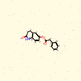 O=C1CCc2cc(OC(=O)Cc3ccccc3)ccc2N1